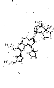 COc1cc2c(cc1-c1ccn(C)n1)-c1c(-c3cccs3)cc(C(=O)N3CCC[C@@]3(C)[C@H](C)O)n1CC2